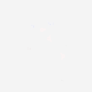 Br.CCCCCCCCCCCCCCOc1ccc(OCC(=O)Nc2ccccc2CN2C=CSC2)cc1Cl